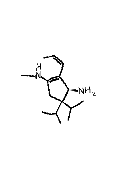 C/C=C\C1=C(NC)CC(C(C)C)(C(C)C)[C@@H]1N